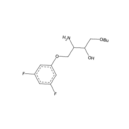 CC(C)COCC(O)C(N)COc1cc(F)cc(F)c1